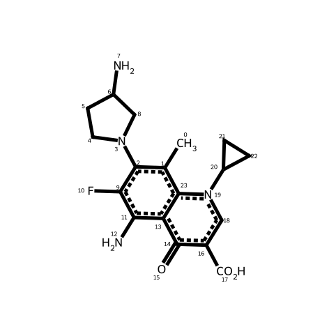 Cc1c(N2CCC(N)C2)c(F)c(N)c2c(=O)c(C(=O)O)cn(C3CC3)c12